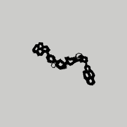 c1cc2ccc3cc(-c4ccc5oc6ccc(-c7ccc8oc9ccc(-c%10ccc%11ccc%12cccc%13ccc%10c%11c%12%13)cc9c8c7)cc6c5c4)cc4ccc(c1)c2c34